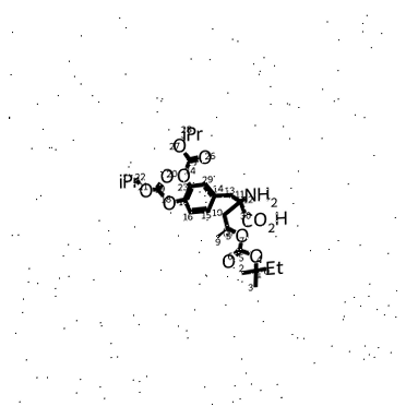 CCC(C)(C)OC(=O)O[C@@H](C)CC(N)(Cc1ccc(OC(=O)OC(C)C)c(OC(=O)OC(C)C)c1)C(=O)O